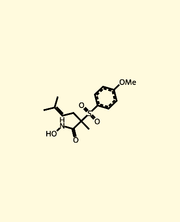 COc1ccc(S(=O)(=O)C(C)(CC=C(C)C)C(=O)NO)cc1